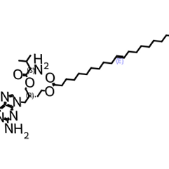 CCCCCCCC/C=C/CCCCCCCCCC(=O)OCC[C@@H](COC(=O)[C@@H](N)C(C)C)Cn1cnc2cnc(N)nc21